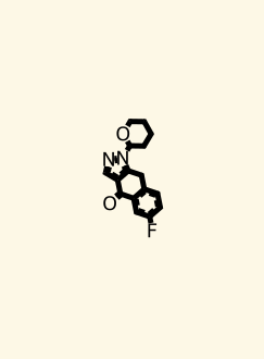 O=C1c2cc(F)ccc2Cc2c1cnn2C1CCCCO1